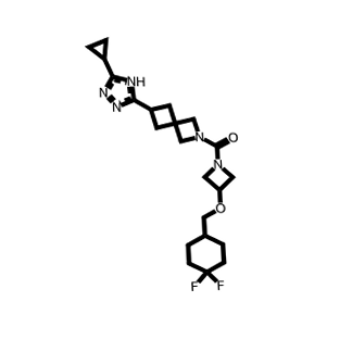 O=C(N1CC(OCC2CCC(F)(F)CC2)C1)N1CC2(CC(c3nnc(C4CC4)[nH]3)C2)C1